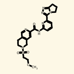 COCCS(=O)(=O)N1CCc2cnc(C(=O)Nc3cccc(-c4nnc5n4CCC5)n3)cc2C1